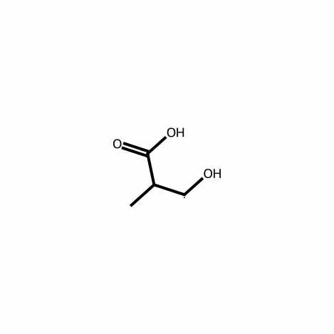 CC([CH]O)C(=O)O